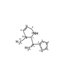 C=C(c1cccs1)C1NCC=CN1C